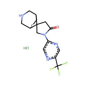 Cl.O=C1CC2(CN1c1cnc(C(F)(F)F)cn1)C1CCC2CNC1